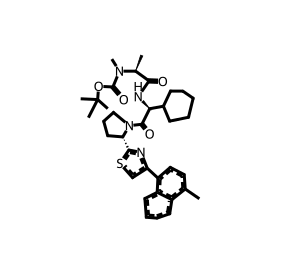 Cc1ccc(-c2csc([C@@H]3CCCN3C(=O)[C@@H](NC(=O)[C@H](C)N(C)C(=O)OC(C)(C)C)C3CCCCC3)n2)c2ccccc12